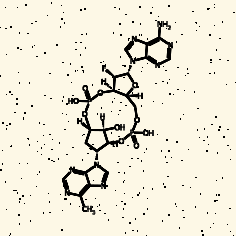 Cc1ncnc2c1ncn2[C@@H]1C[C@@H]2OP(=O)(O)O[C@H]3[C@@H](F)[C@H](n4cnc5c(N)ncnc54)O[C@@H]3COP(=O)(O)O[C@@H]1[C@@H]2O